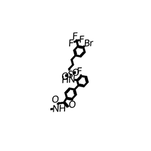 CNC(=O)c1coc2cc(-c3cccc(F)c3NS(=O)(=O)CCCc3ccc(Br)c(C(F)(F)F)c3)ccc12